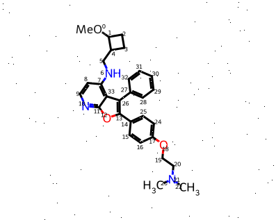 COC1CCC1CNc1ccnc2oc(-c3ccc(OCCN(C)C)cc3)c(-c3ccccc3)c12